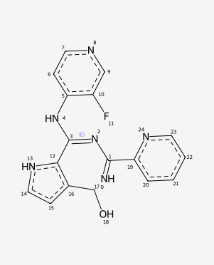 N=C(/N=C(/Nc1ccncc1F)c1[nH]ccc1CO)c1ccccn1